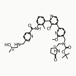 COc1nc(-c2ccnc(-c3cccc(NC(=O)c4ccc(CNC[C@@H](C)O)cn4)c3C)c2Cl)ccc1CN(C[C@@H]1CCC(=O)N1)C(=O)OC(C)(C)C